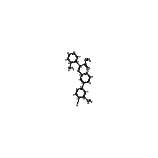 NC(=O)C(=Cc1cc(-c2ccc(F)c(N)c2)ccn1)c1ccccc1N